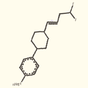 CCCCCCCc1ccc(C2CCC(/C=C/CC(F)F)CC2)cc1